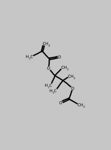 C=C(C)C(=O)OC(C)(C)C(C)(C)OC(C)=O